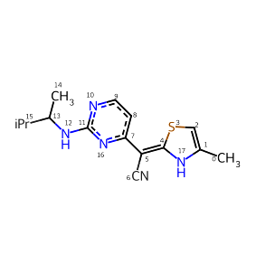 CC1=CSC(=C(C#N)c2ccnc(NC(C)C(C)C)n2)N1